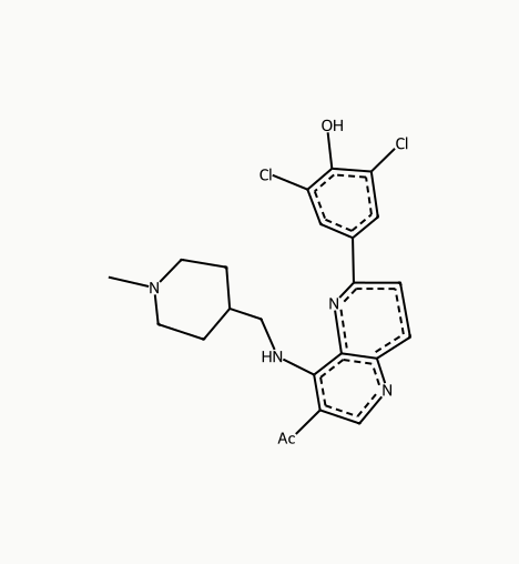 CC(=O)c1cnc2ccc(-c3cc(Cl)c(O)c(Cl)c3)nc2c1NCC1CCN(C)CC1